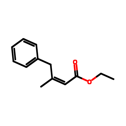 CCOC(=O)/C=C(/C)Cc1ccccc1